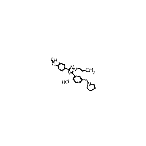 C=CCn1nc(-c2ccc(OC)cc2)nc1-c1cccc(CN2CCCC2)c1.Cl